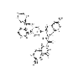 O=C(N[C@H](Cc1ccc(Cl)cc1)C(=O)N1CCN(c2ccccc2C(=O)N2CCCCC2)CC1)c1cc(=O)c2cc(O)ccc2o1